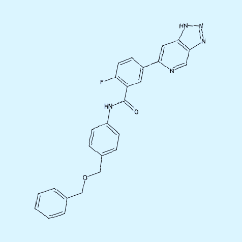 O=C(Nc1ccc(COCc2ccccc2)cc1)c1cc(-c2cc3[nH]nnc3cn2)ccc1F